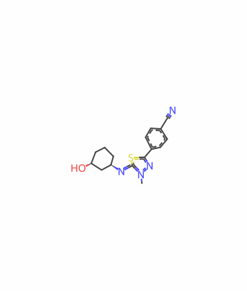 Cn1nc(-c2ccc(C#N)cc2)sc1=N[C@@H]1CCC[C@H](O)C1